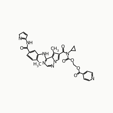 Cc1ccc(C(=O)NC2=NCC=C2)cc1Nc1ncnn2cc(C(=O)N(C(=O)OCOC(=O)c3ccncc3)C3CC3)c(C)c12